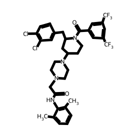 Cc1cccc(C)c1NC(=O)CN1CCN(C2CCN(C(=O)c3cc(C(F)(F)F)cc(C(F)(F)F)c3)C(Cc3ccc(Cl)c(Cl)c3)C2)CC1